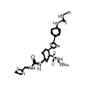 CC(C)NC(=S)Nc1ccc(-c2ncc(-c3ccc(NC(=O)NCc4nccs4)cc3S(=O)(=O)NC(C)(C)C)s2)cc1